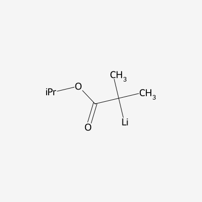 [Li][C](C)(C)C(=O)OC(C)C